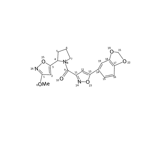 COc1cc(C2CCCN2C(=O)c2cc(-c3ccc4c(c3)OCO4)on2)on1